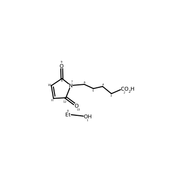 CCO.O=C(O)CCCCN1C(=O)C=CC1=O